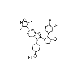 CCOC1CCC(n2c([C@@H]3CCC(=O)N3c3ccc(F)c(F)c3)nc3cc(-c4c(C)noc4C)ccc32)CC1